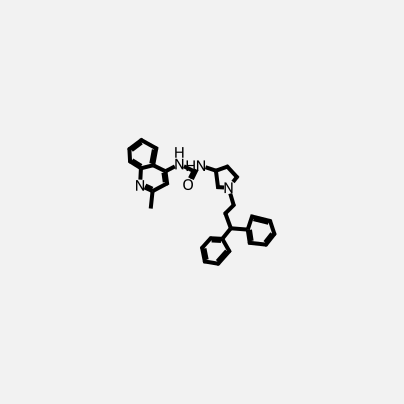 Cc1cc(NC(=O)NC2CCN(CCC(c3ccccc3)c3ccccc3)C2)c2ccccc2n1